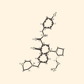 COC[C@H]1CCCN1n1cc(C(=O)NCc2ccc(Cl)cc2)c(=O)c2cc(CN3CCOCC3)ccc21